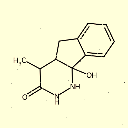 CC1C(=O)NNC2(O)c3ccccc3CC12